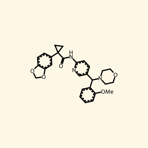 COc1ccccc1C(c1ccc(NC(=O)C2(c3ccc4c(c3)OCO4)CC2)nc1)N1CCOCC1